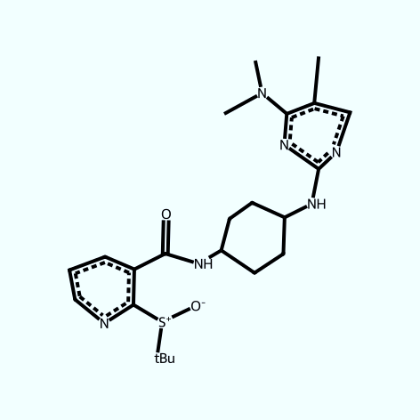 Cc1cnc(NC2CCC(NC(=O)c3cccnc3[S+]([O-])C(C)(C)C)CC2)nc1N(C)C